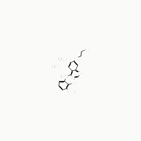 COc1cc2c(Nc3c(F)ccc(O)c3C)ncnc2cc1OCCCl.Cl